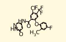 Cc1cc(F)ccc1Oc1cc(C(F)(F)F)c(Cl)cc1C(=O)Nc1cn[nH]c(=O)c1